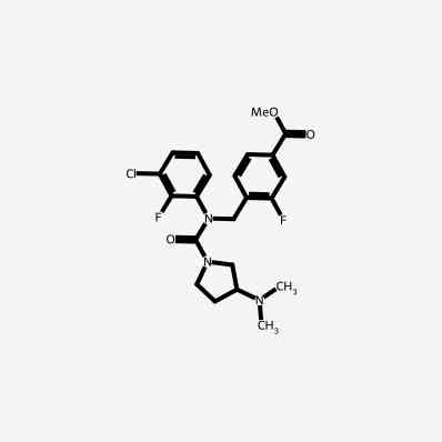 COC(=O)c1ccc(CN(C(=O)N2CCC(N(C)C)C2)c2cccc(Cl)c2F)c(F)c1